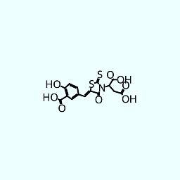 O=C(O)CC(C(=O)O)N1C(=O)/C(=C/c2ccc(O)c(C(=O)O)c2)SC1=S